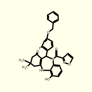 CC1(C)CC(=O)C2=C(C1)Nc1c(O)cccc1N(C(=O)c1ccon1)C2c1ccc(OCc2ccccc2)cc1F